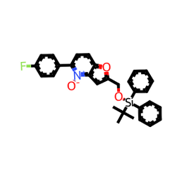 CC(C)(C)[Si](OCc1cc2c(ccc(-c3ccc(F)cc3)[n+]2[O-])o1)(c1ccccc1)c1ccccc1